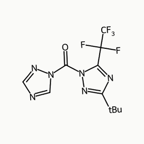 CC(C)(C)c1nc(C(F)(F)C(F)(F)F)n(C(=O)n2cncn2)n1